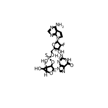 Nc1nc2c(ncn2[C@@H]2O[C@@H]3C(O)[C@]3(F)C2OP(O)(=S)OC[C@H]2O[C@@H](n3ccc4c(N)ncnc43)[C@@H](F)[C@@H]2O)c(=O)[nH]1